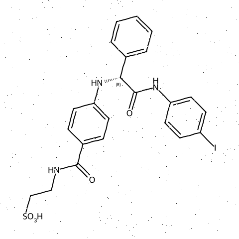 O=C(NCCS(=O)(=O)O)c1ccc(N[C@@H](C(=O)Nc2ccc(I)cc2)c2ccccc2)cc1